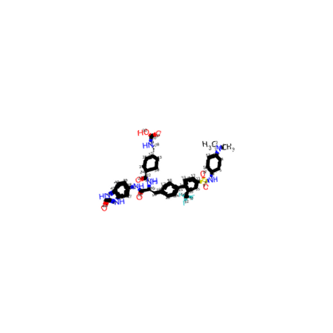 CN(C)C1CCC(NS(=O)(=O)c2ccc(-c3ccc(C[C@H](NC(=O)[C@H]4CC[C@H](CNC(=O)O)CC4)C(=O)Nc4ccc5[nH]c(=O)[nH]c5c4)cc3)c(C(F)(F)F)c2)CC1